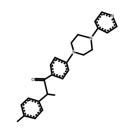 Cc1ccc(C(C)C(=O)c2ccc(N3CCN(c4ccncc4)CC3)cc2)cc1